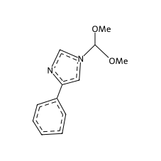 COC(OC)n1cnc(-c2ccccc2)c1